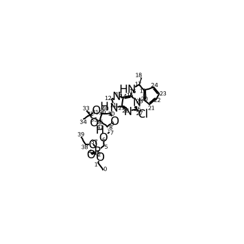 CCOP(=O)(COC[C@H]1O[C@@H](n2cnc3c(N[C@@H](C)c4ccccc4)nc(Cl)nc32)[C@@H]2OC(C)(C)O[C@@H]21)OCC